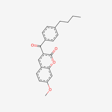 CCCCc1ccc(C(=O)c2cc3ccc(OC)cc3oc2=O)cc1